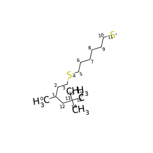 CC(CCSCCCCCC[S])CC(C)(C)C